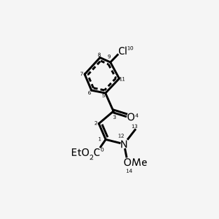 CCOC(=O)C(=CC(=O)c1cccc(Cl)c1)N(C)OC